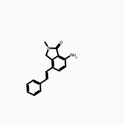 CN1Cc2c(C=Cc3ccccc3)ccc(N)c2C1=O